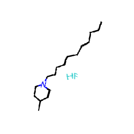 CCCCCCCCCCCN1CCC(C)CC1.F